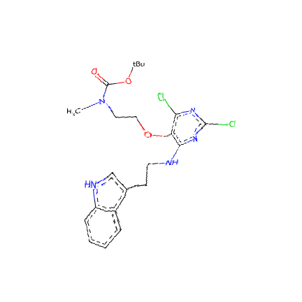 CN(CCOc1c(Cl)nc(Cl)nc1NCCc1c[nH]c2ccccc12)C(=O)OC(C)(C)C